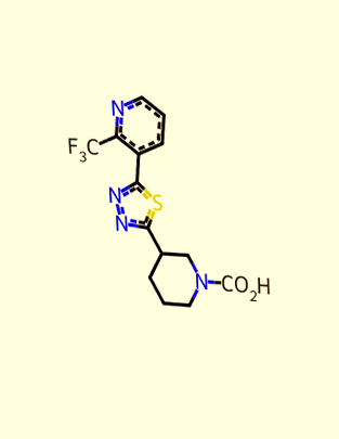 O=C(O)N1CCCC(c2nnc(-c3cccnc3C(F)(F)F)s2)C1